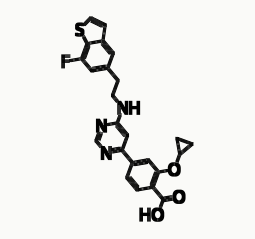 O=C(O)c1ccc(-c2cc(NCCc3cc(F)c4sccc4c3)ncn2)cc1OC1CC1